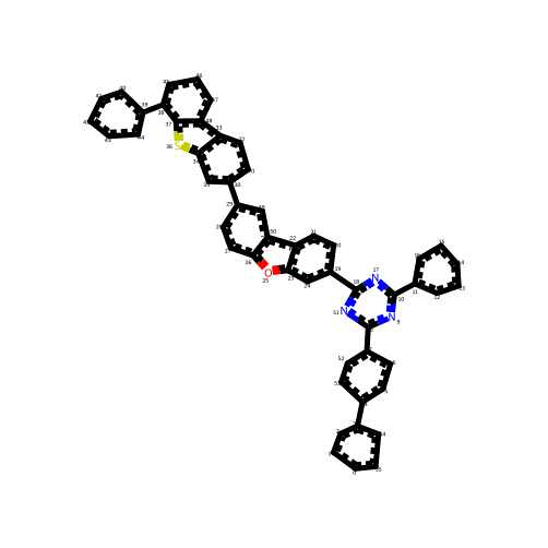 c1ccc(-c2ccc(-c3nc(-c4ccccc4)nc(-c4ccc5c(c4)oc4ccc(-c6ccc7c(c6)sc6c(-c8ccccc8)cccc67)cc45)n3)cc2)cc1